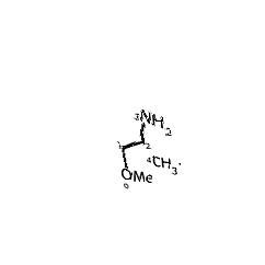 COCCN.[CH3]